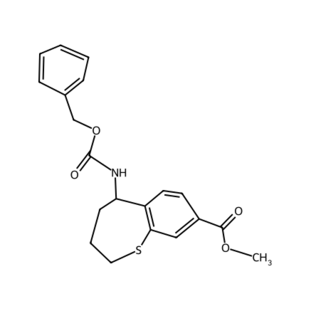 COC(=O)c1ccc2c(c1)SCCCC2NC(=O)OCc1ccccc1